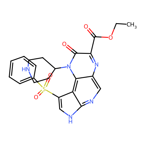 CCOC(=O)c1nc2cnc3[nH]cc(S(=O)(=O)c4ccccc4)c3c2n(C2CCNCC2)c1=O